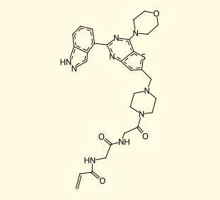 C=CC(=O)NCC(=O)NCC(=O)N1CCN(Cc2cc3nc(-c4cccc5[nH]ncc45)nc(N4CCOCC4)c3s2)CC1